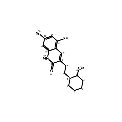 CC(C)(C)C1C[CH]CCN1CCc1cc2c(F)cc(Br)cc2[nH]c1=O